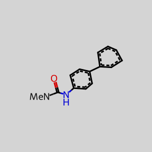 CNC(=O)Nc1ccc(-c2ccccc2)cc1